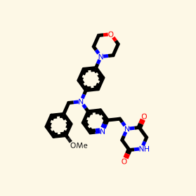 COc1cccc(CN(c2ccc(N3CCOCC3)cc2)c2ccnc(CN3CC(=O)NCC3=O)c2)c1